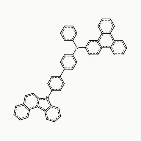 c1ccc(N(c2ccc(-c3ccc(-n4c5ccccc5c5c6ccccc6ccc54)cc3)cc2)c2ccc3c4ccccc4c4ccccc4c3c2)cc1